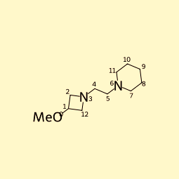 COC1CN(CCN2CCCCC2)C1